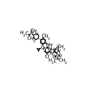 Cc1cc(Nc2ncc(Cl)c(Nc3cn(C)nc3S(=O)(=O)C(C)C)n2)c(OC2CC2)cc1[C@H]1CC[C@H](N(C)C(C)C)CC1